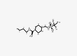 CCCCOC(=O)[C@H]1CC[C@@H](COS(=O)(=O)C(F)(F)F)CC1